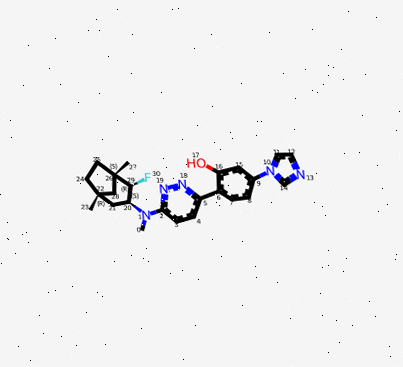 CN(c1ccc(-c2ccc(-n3ccnc3)cc2O)nn1)[C@H]1C[C@]2(C)CC[C@@](C)(C2)[C@H]1F